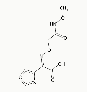 CONC(=O)CON=C(C(=O)O)c1cccs1